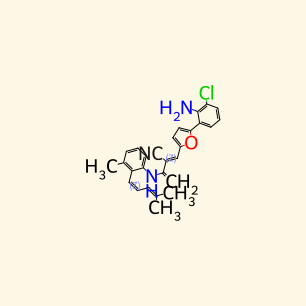 C=C(Nc1cccc(C)c1/C=C\C=C(C)C)/C(C#N)=C/c1ccc(-c2cccc(Cl)c2N)o1